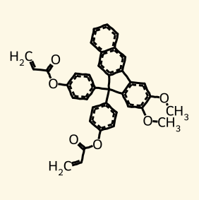 C=CC(=O)Oc1ccc(C2(c3ccc(OC(=O)C=C)cc3)c3cc(OC)c(OC)cc3-c3cc4ccccc4cc32)cc1